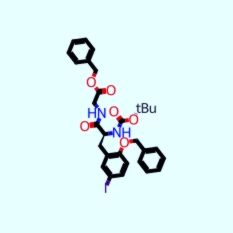 CC(C)(C)OC(=O)N[C@@H](Cc1cc(I)ccc1OCc1ccccc1)C(=O)NCC(=O)OCc1ccccc1